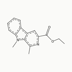 CCOC(=O)c1cc2c3ccccc3n(C)c2c(C)n1